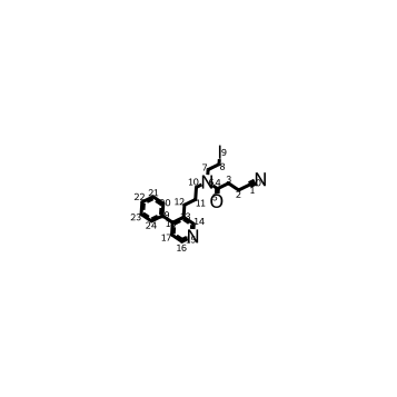 N#CCCC(=O)N(CCI)CCCc1cnccc1-c1ccccc1